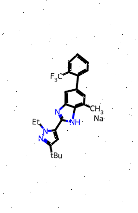 CCn1nc(C(C)(C)C)cc1-c1nc2cc(-c3ccccc3C(F)(F)F)cc(C)c2[nH]1.[Na]